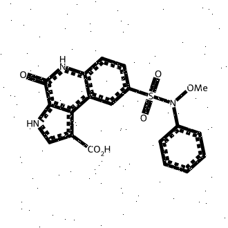 CON(c1ccccc1)S(=O)(=O)c1ccc2[nH]c(=O)c3[nH]cc(C(=O)O)c3c2c1